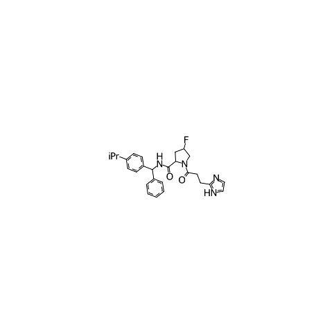 CC(C)c1ccc(C(NC(=O)C2CC(F)CN2C(=O)CCc2ncc[nH]2)c2ccccc2)cc1